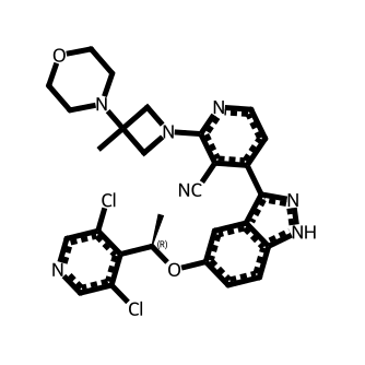 C[C@@H](Oc1ccc2[nH]nc(-c3ccnc(N4CC(C)(N5CCOCC5)C4)c3C#N)c2c1)c1c(Cl)cncc1Cl